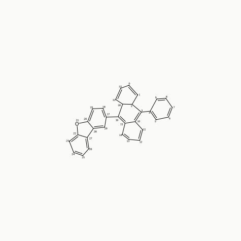 C1=CC2C(c3ccccc3)=c3ccccc3=C(c3ccc4oc5ccccc5c4c3)C2C=C1